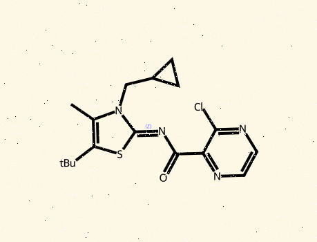 Cc1c(C(C)(C)C)s/c(=N\C(=O)c2nccnc2Cl)n1CC1CC1